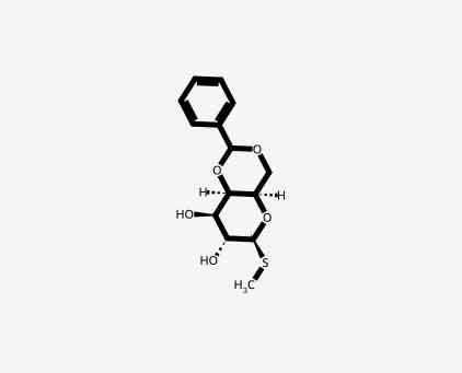 CS[C@@H]1O[C@@H]2COC(c3ccccc3)O[C@@H]2[C@H](O)[C@H]1O